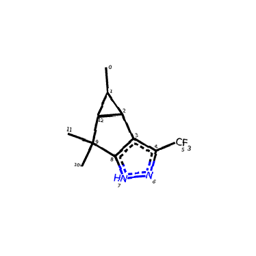 CC1C2c3c(C(F)(F)F)n[nH]c3C(C)(C)C12